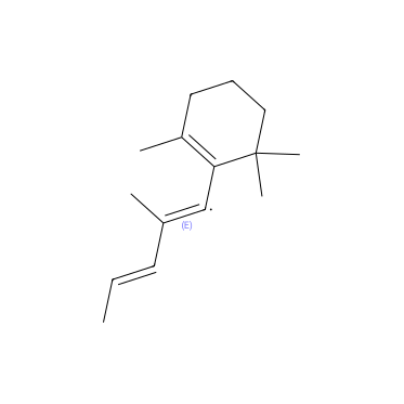 CC=C/C(C)=[C]/C1=C(C)CCCC1(C)C